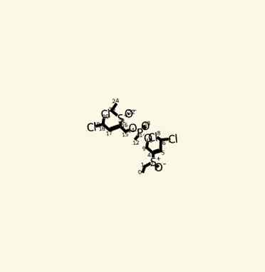 CC[S+]([O-])C(=CC(Cl)Cl)COP(C)(=O)OCC(=CC(Cl)Cl)[S+]([O-])CC